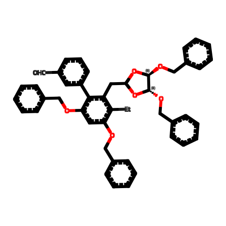 CCc1c(OCc2ccccc2)cc(OCc2ccccc2)c(-c2cccc(C=O)c2)c1CC1O[C@@H](OCc2ccccc2)[C@H](OCc2ccccc2)O1